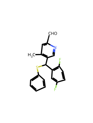 Cc1cc(C=O)ncc1C(Sc1ccccc1)c1cc(F)ccc1F